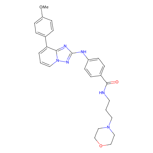 COc1ccc(-c2cccn3nc(Nc4ccc(C(=O)NCCCN5CCOCC5)cc4)nc23)cc1